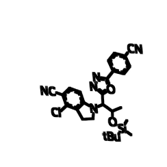 CC(O[Si](C)(C)C(C)(C)C)C(c1nnc(-c2ccc(C#N)cc2)o1)N1CCc2c1ccc(C#N)c2Cl